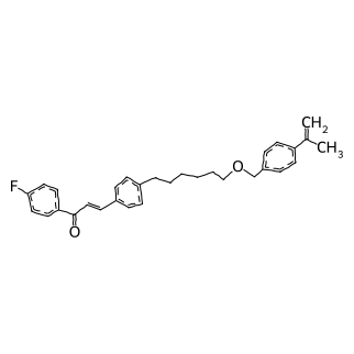 C=C(C)c1ccc(COCCCCCCc2ccc(C=CC(=O)c3ccc(F)cc3)cc2)cc1